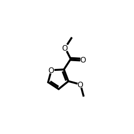 COC(=O)c1occc1OC